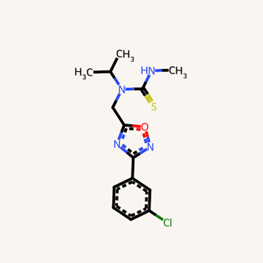 CNC(=S)N(Cc1nc(-c2cccc(Cl)c2)no1)C(C)C